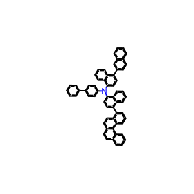 c1ccc(-c2ccc(N(c3ccc(-c4ccc5ccccc5c4)c4ccccc34)c3ccc(-c4cccc5c4ccc4ccc6ccccc6c45)c4ccccc34)cc2)cc1